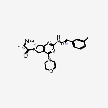 Cc1cccc(/C=N/Nc2nc3c(c(N4CCOCC4)n2)CN(C(=O)[C@H](C)N)C3)c1